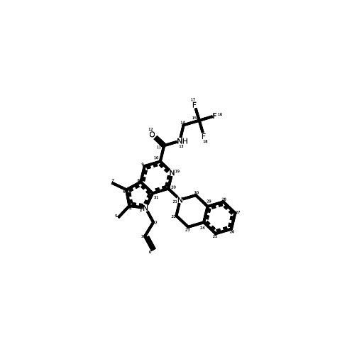 C=CCn1c(C)c(C)c2cc(C(=O)NCC(F)(F)F)nc(N3CCc4ccccc4C3)c21